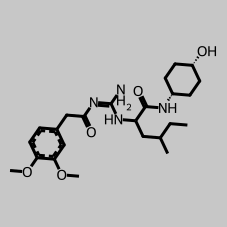 CCC(C)CC(NC(N)=NC(=O)Cc1ccc(OC)c(OC)c1)C(=O)N[C@H]1CC[C@@H](O)CC1